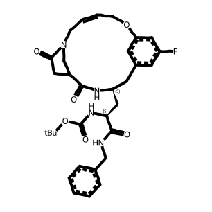 CC(C)(C)OC(=O)N[C@@H](C[C@@H]1Cc2cc(F)cc(c2)OCC=CCN2CC(CC2=O)C(=O)N1)C(=O)NCc1ccccc1